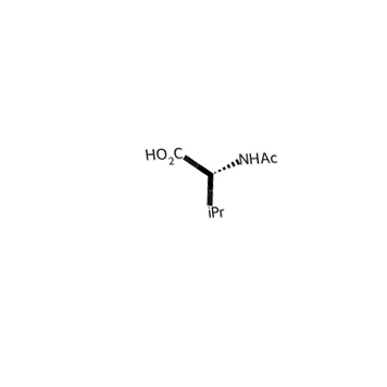 CC(=O)N[C@@H](C(=O)O)C(C)C